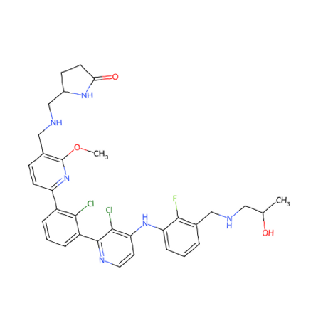 COc1nc(-c2cccc(-c3nccc(Nc4cccc(CNCC(C)O)c4F)c3Cl)c2Cl)ccc1CNCC1CCC(=O)N1